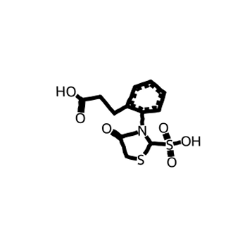 O=C(O)CCc1ccccc1N1C(=O)CSC1S(=O)(=O)O